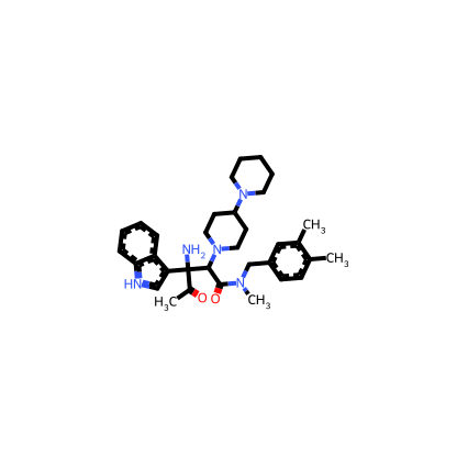 CC(=O)C(N)(c1c[nH]c2ccccc12)C(C(=O)N(C)Cc1ccc(C)c(C)c1)N1CCC(N2CCCCC2)CC1